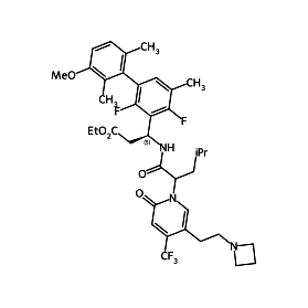 CCOC(=O)C[C@H](NC(=O)C(CC(C)C)n1cc(CCN2CCC2)c(C(F)(F)F)cc1=O)c1c(F)c(C)cc(-c2c(C)ccc(OC)c2C)c1F